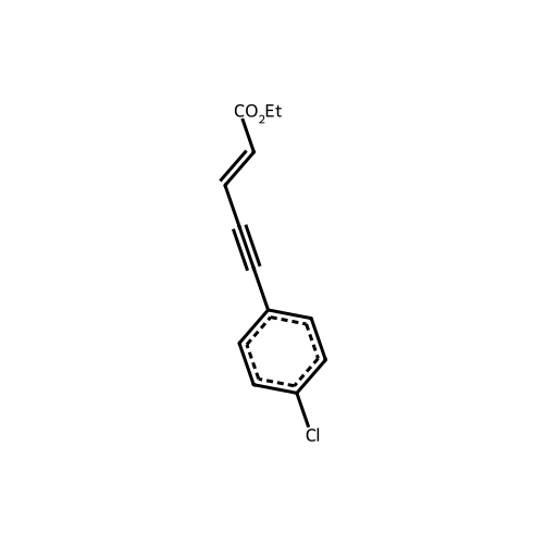 CCOC(=O)C=CC#Cc1ccc(Cl)cc1